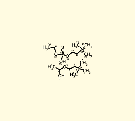 CC(O)OCC[N+](C)(C)C.CCOP(=O)(O)OCC[N+](C)(C)C